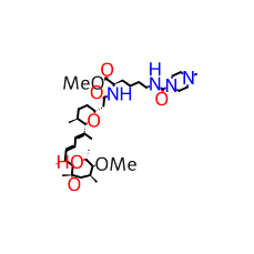 COC(=O)[C@@H](CCCCNC(=O)N1CCN(C)CC1)NC(=O)C[C@H]1CC[C@H](C)[C@@H](/C(C)=C/C=C/[C@@H](C)C[C@@]2(C)O[C@@H]2[C@H](C)[C@@H](OC)[C@@H](C)O)O1